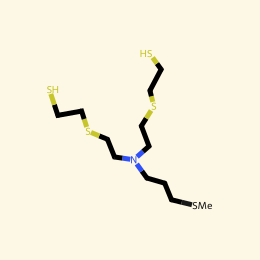 CSCCCN(CCSCCS)CCSCCS